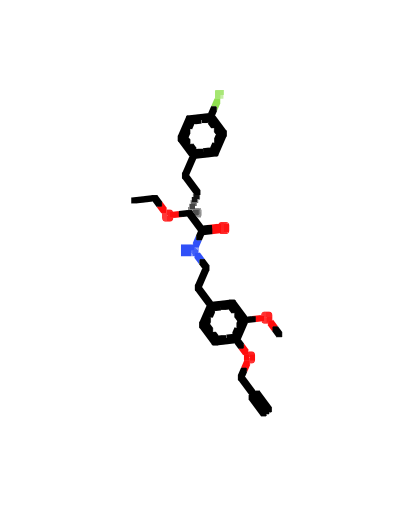 C#CCOc1ccc(CCNC(=O)[C@@H](CCc2ccc(F)cc2)OCC)cc1OC